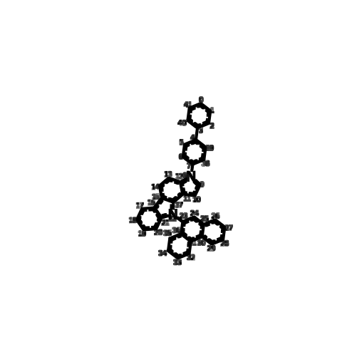 c1ccc(-c2ccc(-n3ccc4c3ccc3c5ccccc5n(-c5cc6ccccc6c6ccccc56)c34)cc2)cc1